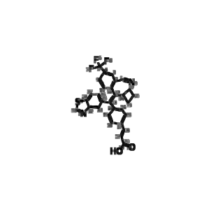 N#Cc1cc(C(F)(F)F)ccc1C(=C(c1ccc(C=CC(=O)O)cc1)c1ccc2scnc2c1)C1CCC1